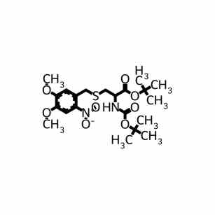 COc1cc(CSCC(NC(=O)OC(C)(C)C)C(=O)OC(C)(C)C)c([N+](=O)[O-])cc1OC